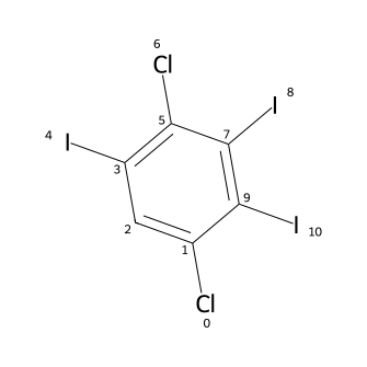 Clc1cc(I)c(Cl)c(I)c1I